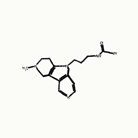 CC(C)C(=O)NCCCn1c2c(c3cnccc31)CN(C)CC2